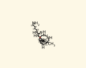 CC12CNCNCC(NC(=S)NCCCCN)(CNCNC1)CNCNC2